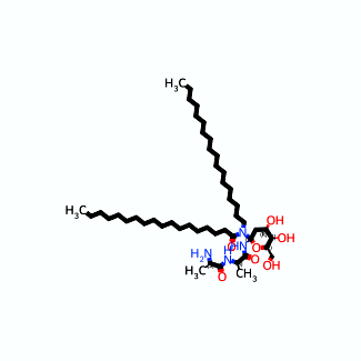 CCCCCCCCCCCCCCCCCCN(C(=O)CCCCCCCCCCCCCCCCC)[C@@]1(NC(=O)[C@H](C)NC(=O)[C@H](C)N)C[C@@H](O)[C@H](O)[C@@H](CO)O1